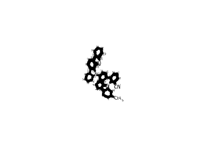 CC1C=Cc2c(n(-c3c(C#N)cccc3-c3ccc(N4c5c(ccc6c5oc5ccccc56)C5C=CC=CC54)cc3)c3ccccc23)C1